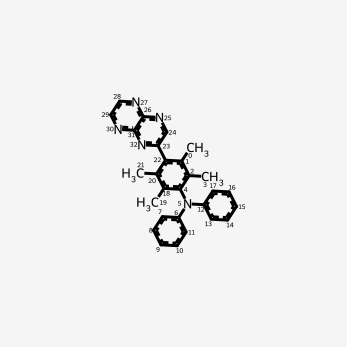 Cc1c(C)c(N(c2ccccc2)c2ccccc2)c(C)c(C)c1-c1cnc2nccnc2n1